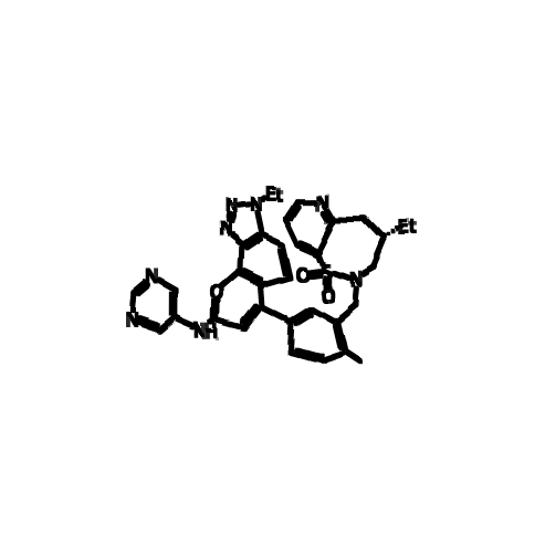 CC[C@H]1Cc2ncccc2S(=O)(=O)N(Cc2cc(/C(=C/C(=O)Nc3cncnc3)c3ccc4c(nnn4CC)c3C)ccc2C)C1